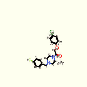 CC(C)[C@@H]1CN(Cc2ccc(F)cc2)CCN1C(=O)COc1ccc(Cl)cc1